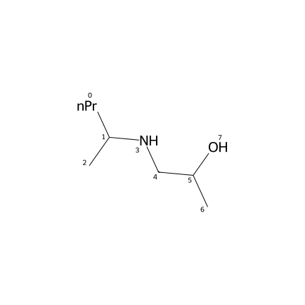 CCCC(C)NCC(C)O